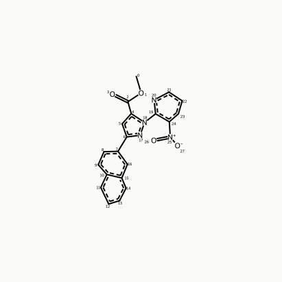 COC(=O)c1cc(-c2ccc3ccccc3c2)nn1-c1ncccc1[N+](=O)[O-]